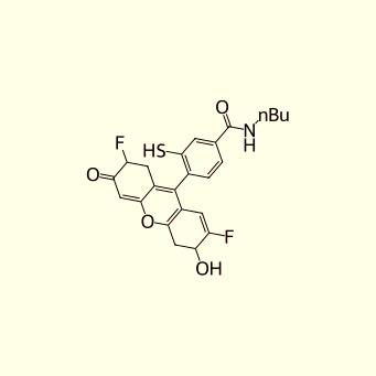 CCCCNC(=O)c1ccc(C2=C3CC(F)C(=O)C=C3OC3=C2C=C(F)C(O)C3)c(S)c1